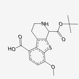 COc1ccc(C(=O)O)c2c3c(sc12)C(C(=O)OC(C)(C)C)NCC3